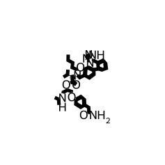 CCCCC(=O)N(Cc1ccc(-c2ccccc2-c2nnn[nH]2)cc1)[C@H](C(=O)OC(CNC(C)C)COc1ccc(CC(N)=O)cc1)C(C)C